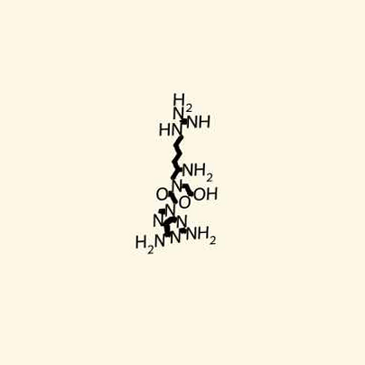 N=C(N)NCCCCC(N)CN(CC(=O)O)C(=O)Cn1cnc2c(N)nc(N)nc21